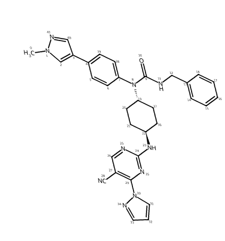 Cn1cc(-c2ccc(N(C(=O)NCc3ccccc3)[C@H]3CC[C@H](Nc4ncc(C#N)c(-n5cccn5)n4)CC3)cc2)cn1